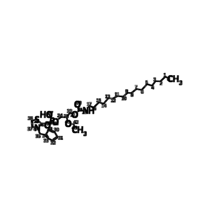 CCCCCCCCCCCCCCCCCCNC(=O)OCC(COP(O)Oc1ccccc1CN1C=CSC1)OCC